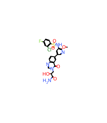 COc1ncc(-c2ccc3ncn(CC(O)C(N)=O)c(=O)c3c2)cc1NS(=O)(=O)c1ccc(F)cc1Cl